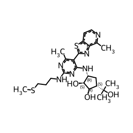 CSCCCNc1nc(C)c(-c2nc3c(C)nccc3s2)c(N[C@@H]2C[C@H](C(C)(C)O)[C@@H](O)[C@H]2O)n1